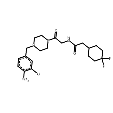 Nc1ccc(CN2CCN(C(=O)CNC(=O)CC3CCC(F)(F)CC3)CC2)cc1Cl